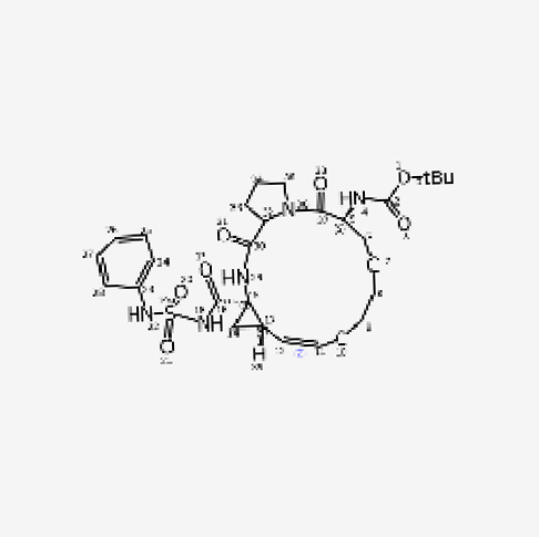 CC(C)(C)OC(=O)N[C@H]1CCCCC/C=C\[C@@H]2C[C@@]2(C(=O)NS(=O)(=O)Nc2ccccc2)NC(=O)C2CCCN2C1=O